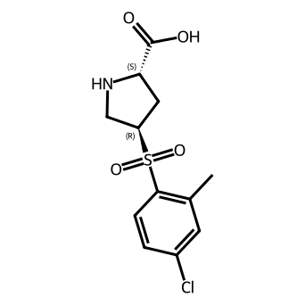 Cc1cc(Cl)ccc1S(=O)(=O)[C@H]1CN[C@H](C(=O)O)C1